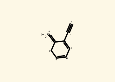 [C]#CC1=CC=[C]CC1=[SiH2]